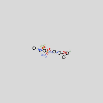 NCC[C@H](CSc1ccccc1)Nc1ccc(S(=O)(=O)NC(=O)c2ccc(N3CCC([C@@H](O)c4ccccc4-c4ccc(Cl)cc4)CC3)cc2)cc1S(=O)(=O)C(F)(F)F